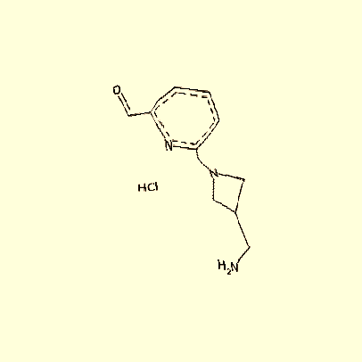 Cl.NCC1CN(c2cccc(C=O)n2)C1